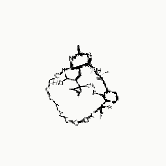 Cc1nc2c3c(n1)N(CCCCCCCCOCC(F)(F)c1cccc(c1F)[C@@H](C)N2)C(O)C(C1(C#N)CC1)=C3